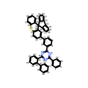 c1ccc(-c2nc(-c3cccc(-c4ccc5c(c4)C4(c6ccccc6S5)c5ccccc5-c5ccccc54)c3)nc(-c3ccccc3-c3ccccc3)n2)cc1